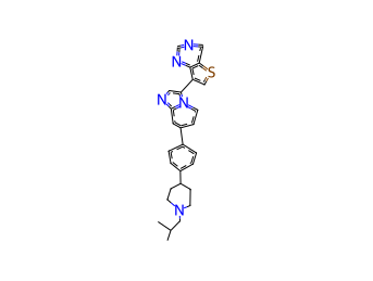 CC(C)CN1CCC(c2ccc(-c3ccn4c(-c5csc6cncnc56)cnc4c3)cc2)CC1